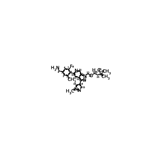 Cc1cc(CN)cc(F)c1-c1cc2c(-c3cnn(C)c3)nn(COCC[Si](C)(C)C)c2cn1